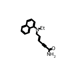 CCN(CC=CC#CC(N)=O)c1cccc2ccccc12